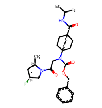 CCC(CC)NC(=O)C12CCC(N(CC(=O)N3C[C@@H](F)C[C@H]3C#N)C(=O)OCc3ccccc3)(CC1)CC2